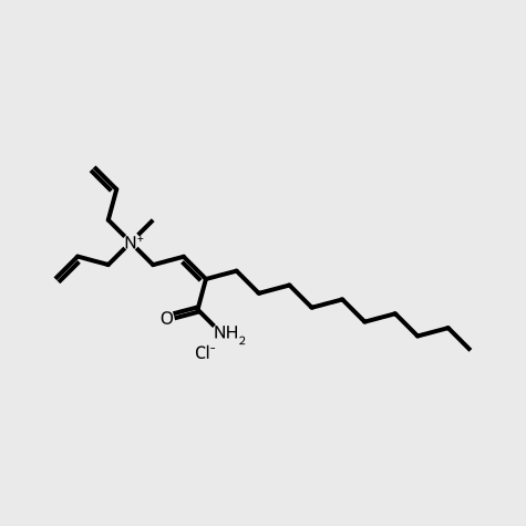 C=CC[N+](C)(CC=C)CC=C(CCCCCCCCCC)C(N)=O.[Cl-]